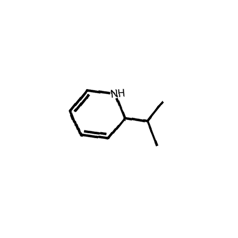 CC(C)[C]1C=CC=CN1